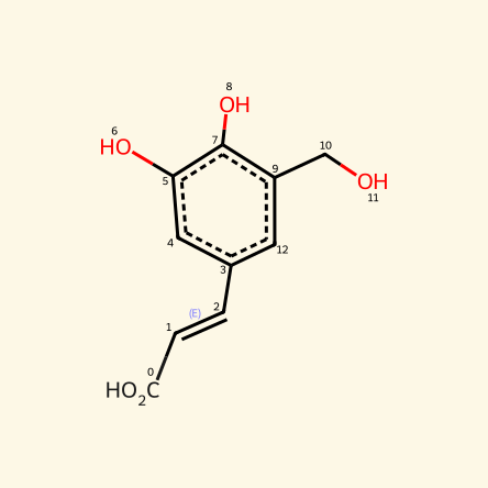 O=C(O)/C=C/c1cc(O)c(O)c(CO)c1